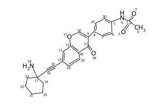 CS(=O)(=O)Nc1ccc(-c2coc3cc(C#CC4(N)CCCCC4)ccc3c2=O)cc1